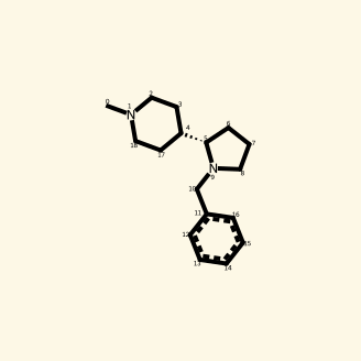 CN1CCC([C@@H]2CCCN2Cc2ccccc2)CC1